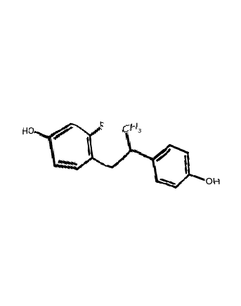 CC(Cc1ccc(O)cc1F)c1ccc(O)cc1